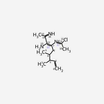 C=CC(C)C(C)CC(/N=C(\C)Cl)=C(\N)C(C)=N